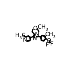 Cc1cc(-c2nc(-c3ccc(OC(F)F)c(C)c3)n3c2CCOC(C)C3)ccn1